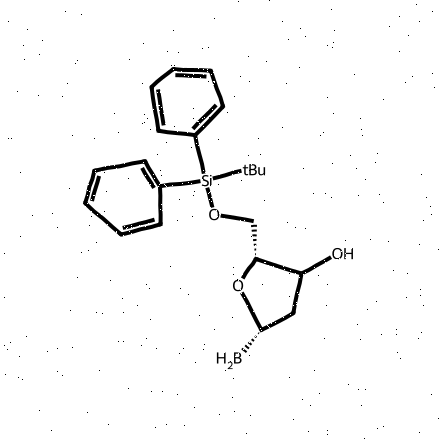 B[C@H]1CC(O)[C@@H](CO[Si](c2ccccc2)(c2ccccc2)C(C)(C)C)O1